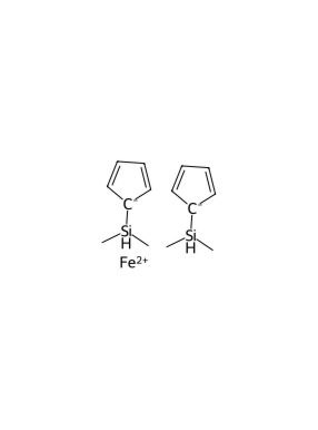 C[SiH](C)[c-]1cccc1.C[SiH](C)[c-]1cccc1.[Fe+2]